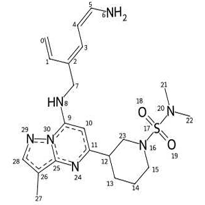 C=C/C(=C\C=C/N)CNc1cc(C2CCCN(S(=O)(=O)N(C)C)C2)nc2c(C)cnn12